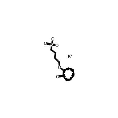 O=c1cccccc1OCCCCS(=O)(=O)[O-].[K+]